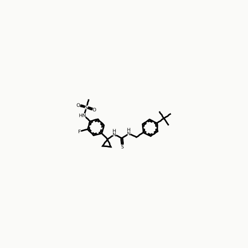 CC(C)(C)c1ccc(CNC(=S)NC2(c3ccc(NS(C)(=O)=O)c(F)c3)CC2)cc1